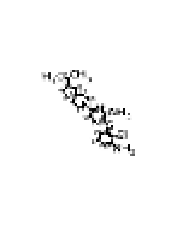 CC(C)=C1CCC2(CCN(c3cnc(Sc4ccnc(N)c4Cl)c(N)n3)CC2)C1